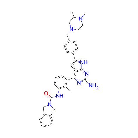 Cc1c(NC(=O)N2Cc3ccccc3C2)cccc1-c1nc(N)nc2[nH]c(-c3ccc(CN4CCN(C)C(C)C4)cc3)cc12